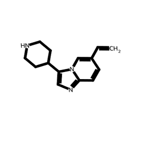 C=Cc1ccc2ncc(C3CCNCC3)n2c1